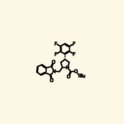 CC(C)(C)OC(=O)N1C[C@@H](c2c(F)c(F)cc(F)c2F)CC1CN1C(=O)c2ccccc2C1=O